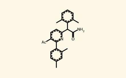 CC(=O)c1ccc(C(C(N)=O)c2c(C)cccc2C)nc1-c1ccc(C)cc1C